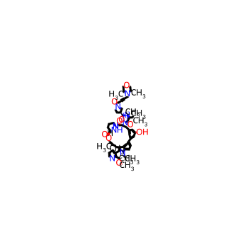 CCn1c(-c2cccnc2[C@H](C)OC)c2c3cc(ccc31)-c1cc(O)cc(c1)C[C@H](NC(=O)C(C(C)C)N(C)C(=O)[C@H]1CCN(C(=O)C#CCN3[C@@H](C)COC[C@@H]3C)C1)C(=O)N1CCC[C@H](N1)C(=O)OCC(C)(C)C2